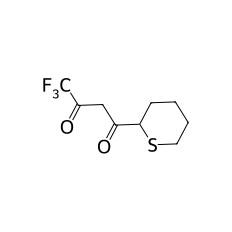 O=C(CC(=O)C(F)(F)F)C1CCCCS1